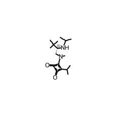 CC(C)N[C@H](CN(C)c1c(C(C)C)c(=O)c1=O)C(C)(C)C